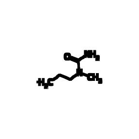 [CH2]CCN(C)C(N)=O